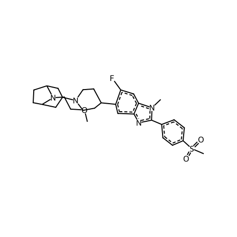 COCCN1C2CCC1CC(N1CCC(c3cc4nc(-c5ccc(S(C)(=O)=O)cc5)n(C)c4cc3F)CC1)C2